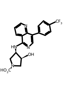 O=C(O)N1C[C@H](O)[C@H](Nc2ncc(-c3ccc(C(F)(F)F)cc3)c3ncccc23)C1